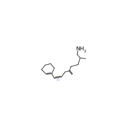 C=C(C/C=C\C1=CCCCC1)CCC(C)CN